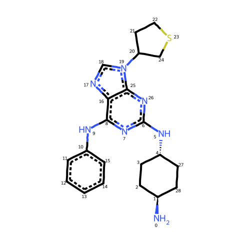 N[C@H]1CC[C@H](Nc2nc(Nc3ccccc3)c3ncn(C4CCSC4)c3n2)CC1